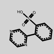 O=S(=O)(O)c1ccccc1-c1cnccn1